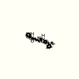 CN(C)c1ccccc1CN1CC[C@@H](Nc2cnc(C=CC(=O)NOC3CCCCO3)cn2)C1